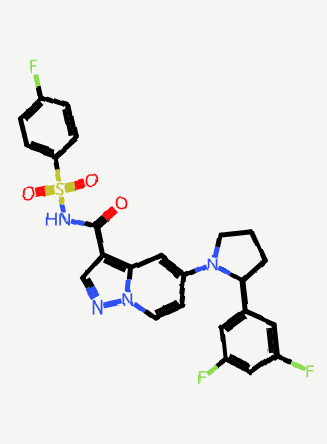 O=C(NS(=O)(=O)c1ccc(F)cc1)c1cnn2ccc(N3CCCC3c3cc(F)cc(F)c3)cc12